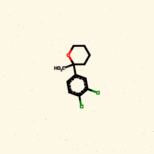 O=C(O)C1(c2ccc(Cl)c(Cl)c2)CCCCO1